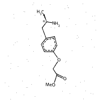 COC(=O)COc1ccc(C[C@@H](C)N)cc1